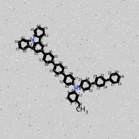 CCc1cccc(N(c2ccc(-c3ccc(-c4ccccc4)cc3)cc2)c2ccc(-c3ccc(-c4ccc(-c5cc6c7ccccc7n7c8ccccc8c(c5)c67)cc4)cc3)cc2)c1